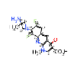 Cn1cc(C(=O)O)c(=O)c2cc3cc(F)c(N4CC(C)(N)C4)c(F)c3nc21